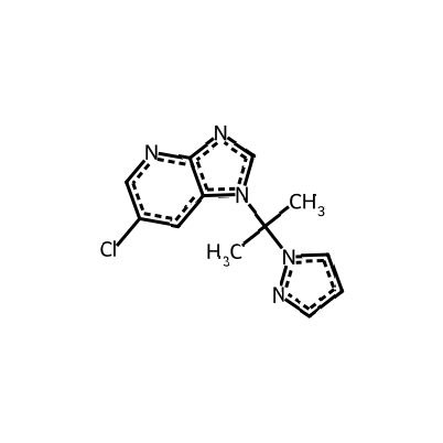 CC(C)(n1cccn1)n1cnc2ncc(Cl)cc21